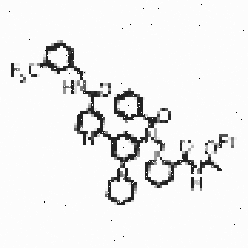 CCOC(C)NC(=O)C1CCCCN1CN(C(=O)c1ccccc1)c1cc(-c2cc(C(=O)NCc3cccc(C(F)(F)F)c3)ccn2)cc(N2CCCCC2)c1